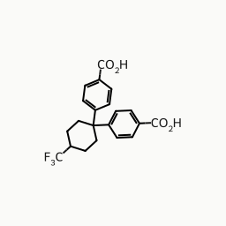 O=C(O)c1ccc(C2(c3ccc(C(=O)O)cc3)CCC(C(F)(F)F)CC2)cc1